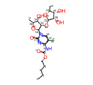 CCCCCOC(=O)Nc1nc(=O)n(C2OC(C)[C@@H](O)[C@H]2OC2OC(C)[C@H](O)[C@@H]2O)cc1F